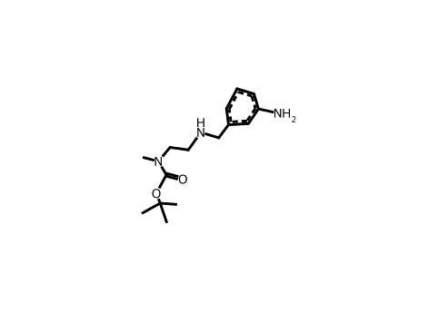 CN(CCNCc1cccc(N)c1)C(=O)OC(C)(C)C